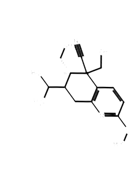 CC[C@H]1C(C(C)O)Cc2nc(OC)ccc2C1(C#N)CC